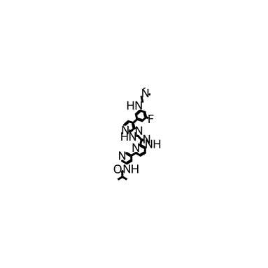 CC(C)C(=O)Nc1cncc(-c2ccc3[nH]nc(-c4nc5c(-c6cc(F)cc(NCCN(C)C)c6)ccnc5[nH]4)c3n2)c1